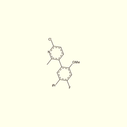 COc1cc(F)c(C(C)C)cc1-c1ccc(Cl)nc1C